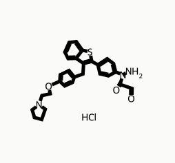 Cl.NN(C(=O)C=O)c1ccc(-c2sc3ccccc3c2Cc2ccc(OCCN3CCCC3)cc2)cc1